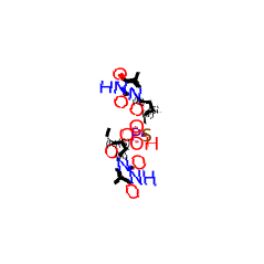 CC[C@H]1O[C@@H](n2cc(C)c(=O)[nH]c2=O)C[C@@H]1OP(O)(=S)OC[C@H]1O[C@@H](n2cc(C)c(=O)[nH]c2=O)C[C@@H]1C